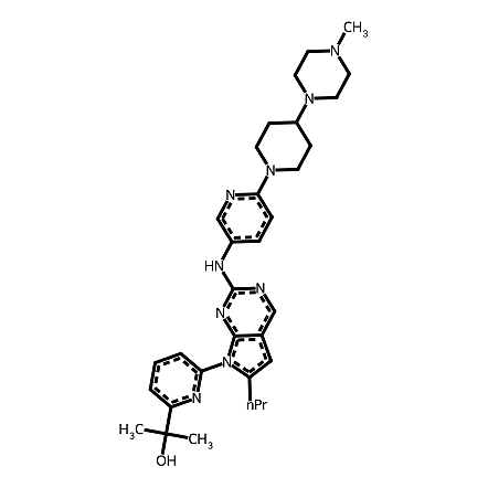 CCCc1cc2cnc(Nc3ccc(N4CCC(N5CCN(C)CC5)CC4)nc3)nc2n1-c1cccc(C(C)(C)O)n1